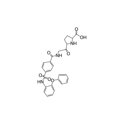 O=C(NCC(=O)C1CCC(C(=O)O)N1)c1ccc(S(=O)(=O)Nc2ccccc2Oc2ccccc2)cc1